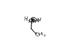 CCCCCCCC/C=C\CCCCCCCCNC(=O)C(C)O